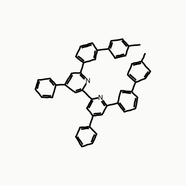 Cc1ccc(-c2cccc(-c3cc(-c4ccccc4)cc(-c4cc(-c5ccccc5)cc(-c5cccc(-c6ccc(C)cc6)c5)n4)n3)c2)cc1